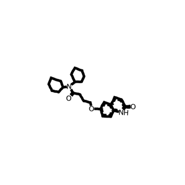 O=C(CCCOc1ccc2[nH]c(=O)ccc2c1)N(C1CCCCC1)C1CCCCC1